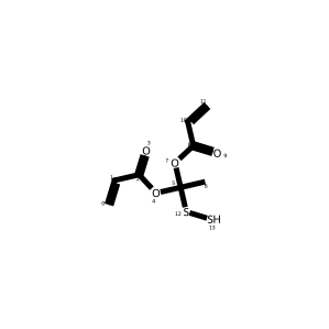 C=CC(=O)OC(C)(OC(=O)C=C)SS